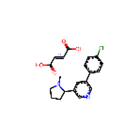 CN1CCCC1c1cncc(-c2ccc(Cl)cc2)c1.O=C(O)/C=C/C(=O)O